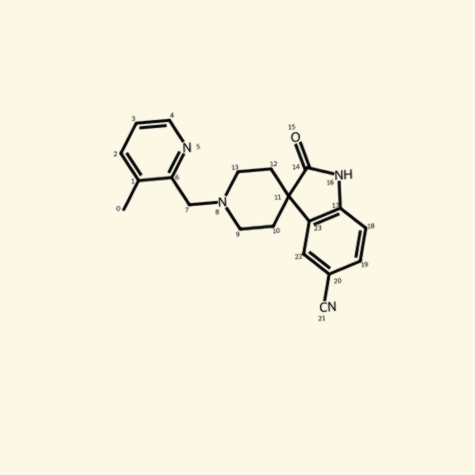 Cc1cccnc1CN1CCC2(CC1)C(=O)Nc1ccc(C#N)cc12